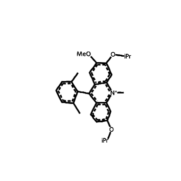 COc1cc2c(-c3c(C)cccc3C)c3ccc(OC(C)C)cc3[n+](C)c2cc1OC(C)C